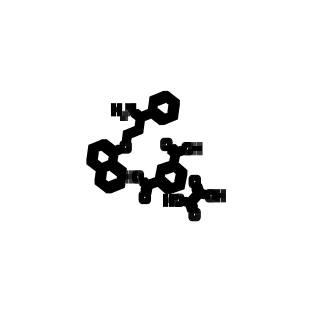 NC(CCOc1cccc2ccccc12)c1ccccc1.O=C(O)C(=O)O.O=C(O)c1cccc(C(=O)O)c1